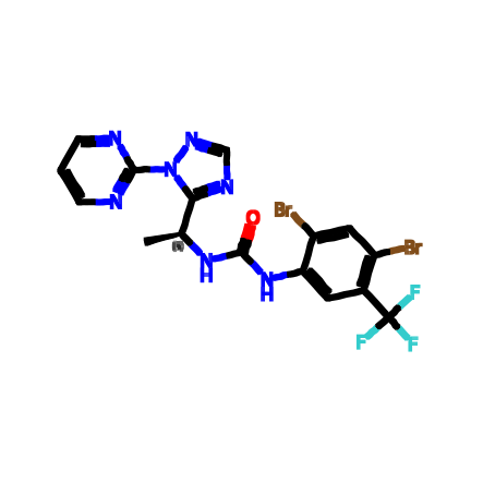 C[C@H](NC(=O)Nc1cc(C(F)(F)F)c(Br)cc1Br)c1ncnn1-c1ncccn1